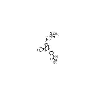 CCNC(=O)Nc1ccc(-c2nc(N3CCOCC3)c3cc(CN4CCN(S(C)(=O)=O)CC4)cn3n2)cc1